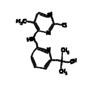 Cc1cnc(Cl)nc1Nc1cccc(C(C)(C)O)n1